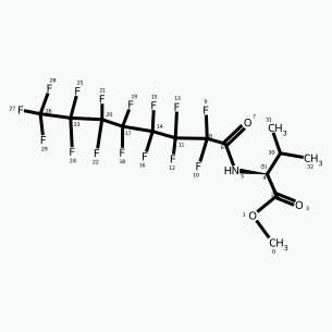 COC(=O)[C@@H](NC(=O)C(F)(F)C(F)(F)C(F)(F)C(F)(F)C(F)(F)C(F)(F)C(F)(F)F)C(C)C